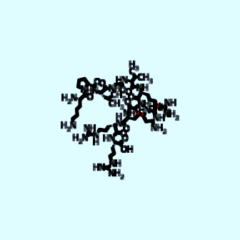 CC(C)C[C@H](NC(=O)[C@@H]1CCCN1C(=O)[C@@H](N)CCCCN)C(=O)NCC(=O)N[C@H](C(=O)N[C@@H](CCCNC(=N)N)C(=O)N[C@@H](CCCCN)C(=O)N[C@@H](CCCNC(=N)N)C(=O)N[C@@H](CCCNC(=N)N)C(=O)N[C@@H](CCCNC(=N)N)C(=O)O)C(C)C